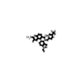 CCn1ncc2c1CCC[C@@H]2N(Cc1ccc(C(F)(F)F)cn1)C(=O)c1ccc2nc(N)c(C)cc2c1